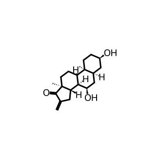 C=C1C[C@H]2[C@@H]3[C@H](O)C[C@@H]4C[C@H](O)CC[C@]4(C)[C@H]3CC[C@]2(C)C1=O